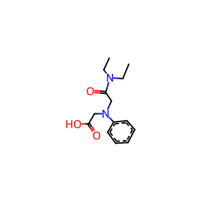 CCN(CC)C(=O)CN(CC(=O)O)c1ccccc1